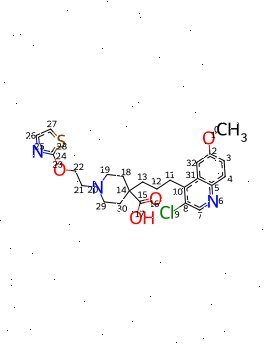 COc1ccc2ncc(Cl)c(CCCC3(C(=O)O)CCN(CCOc4nccs4)CC3)c2c1